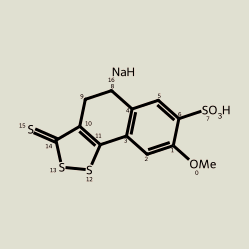 COc1cc2c(cc1S(=O)(=O)O)CCc1c-2ssc1=S.[NaH]